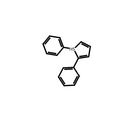 [c]1ccc([SH]2C=CC=C2c2ccccc2)cc1